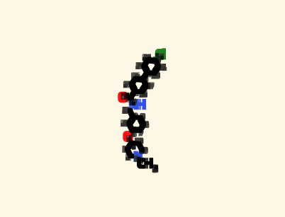 CN1CCC(Oc2cccc(CNC(=O)c3ccc(-c4ccc(Cl)cc4)cc3)c2)CC1